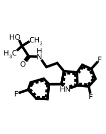 CC(C)(O)C(=O)NCCc1c(-c2ccc(F)cc2)[nH]c2c(F)cc(F)cc12